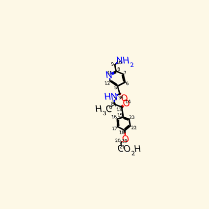 C[C@H](NC(=O)c1ccc(CN)nc1)C(=O)c1ccc(OCC(=O)O)cc1